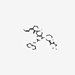 C=C1/C(=C\C=C/C)CCC[C@]12Cc1nc(OC[C@@]34CCCN3C[C@H](F)C4)nc(N3CCCn4nc(C(=O)N(C)C)c(Cl)c4C3)c1CN2C